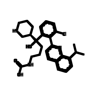 CC(C)c1cccc2ccc(-c3c(Cl)cccc3C(O)(CCCNC(=O)O)[C@@H]3CCCNC3)nc12